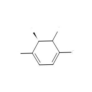 FC1=CC=C(F)[C@@H](F)C1F